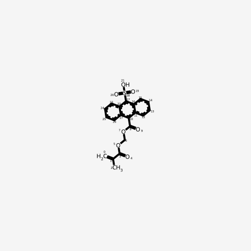 C=C(C)C(=O)OCOC(=O)c1c2ccccc2c(S(=O)(=O)O)c2ccccc12